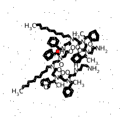 CCCCCCCCCCN(CC(=O)N(CC(=O)N(CC(N)=O)[C@@H](C)c1ccccc1)[C@@H](C)c1ccccc1)C(=O)CN(C(=O)CN(C(=O)CN(CCCCCCCCCC)C(=O)CN(C(=O)CN(C(=O)CNCCCN)[C@@H](C)c1ccccc1)[C@@H](C)c1ccccc1)[C@@H](C)c1ccccc1)[C@@H](C)c1ccccc1